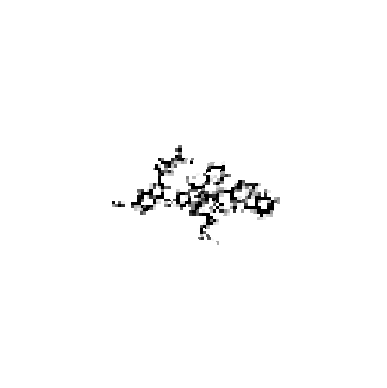 C=CC1C[C@]1(NC(=O)[C@@H]1C[C@@H](Oc2cc(-c3csc(NC(C)C)n3)nc3cc(OC)ccc23)CN1C(=O)[C@@H](NC(=O)NC(CN1Cc2ccccc2S1(=O)=O)C(C)(C)C)C1CCCCC1)C(=O)O